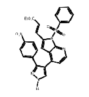 CCOC(=O)C=Cc1cc2c(-c3cn(CC)nc3-c3ccc([N+](=O)[O-])cc3)ccnc2n1S(=O)(=O)c1ccccc1